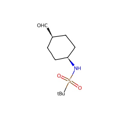 CC(C)(C)S(=O)(=O)N[C@H]1CC[C@@H](C=O)CC1